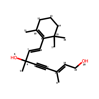 CC(C#CC(C)(O)C=CC1=C(C)CCCC1(C)C)=CCO